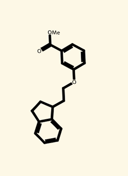 COC(=O)c1cccc(OCCC2CCc3ccccc32)c1